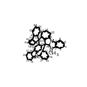 CN1c2ccccc2N2c3cccc4c3C3(c5ccccc5-n5c6ccccc6c6cc(c3cc65)C43c4ccccc4-c4ccccc43)C12